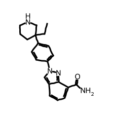 CCC1(c2ccc(-n3cc4cccc(C(N)=O)c4n3)cc2)CCCNC1